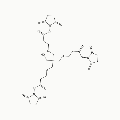 O=C(CCOCC(CO)(COCCC(=O)ON1C(=O)CCC1=O)COCCC(=O)ON1C(=O)CCC1=O)ON1C(=O)CCC1=O